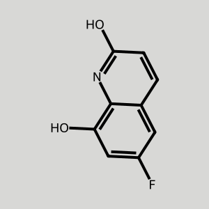 Oc1ccc2cc(F)cc(O)c2n1